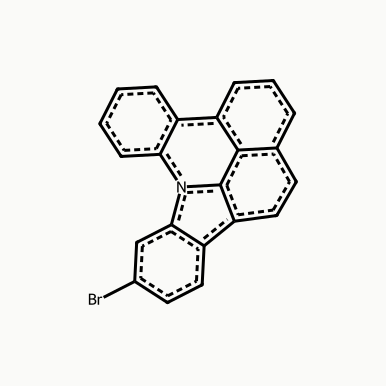 Brc1ccc2c3ccc4cccc5c6ccccc6n(c2c1)c3c45